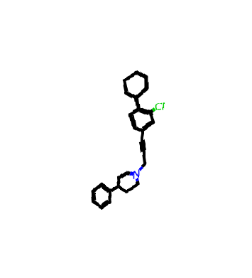 Clc1cc(C#CCN2CCC(c3ccccc3)CC2)ccc1C1CCCCC1